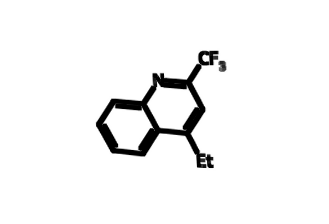 CCc1cc(C(F)(F)F)nc2ccccc12